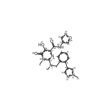 CN(Cc1ccccc1-c1cnn(C)c1)c1nc(C(=O)Nc2cnoc2)c(O)c(=O)n1C